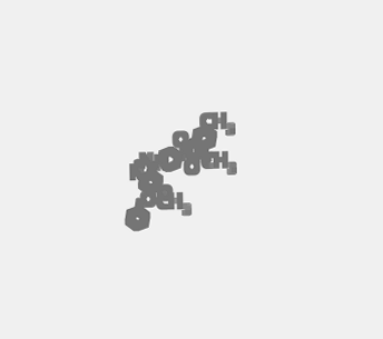 COc1cc2c(N3CCC(n4c(=O)c5cc(C)ccc5n(C)c4=O)CC3)ncnc2cc1OCc1ccccc1